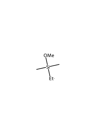 C[CH][Si](C)(C)OC